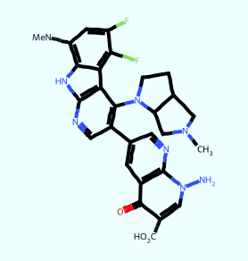 CNc1cc(F)c(F)c2c1[nH]c1ncc(-c3cnc4c(c3)c(=O)c(C(=O)O)cn4N)c(N3CCC4CN(C)CC43)c12